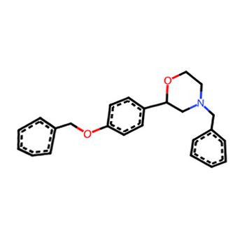 c1ccc(COc2ccc(C3CN(Cc4ccccc4)CCO3)cc2)cc1